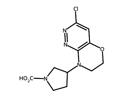 O=C(O)N1CCC(N2CCOc3cc(Cl)nnc32)C1